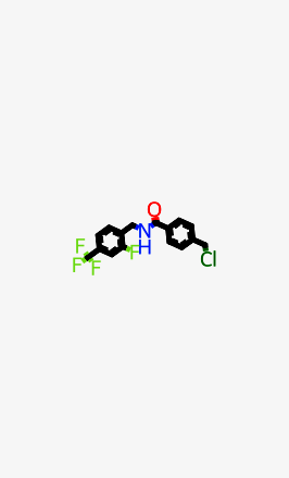 O=C(NCc1ccc(C(F)(F)F)cc1F)c1ccc(CCl)cc1